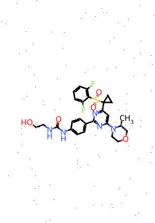 C[C@H]1COCCN1c1cc(C2(S(=O)(=O)c3c(F)cccc3F)CC2)nc(-c2ccc(NC(=O)NCCO)cc2)n1